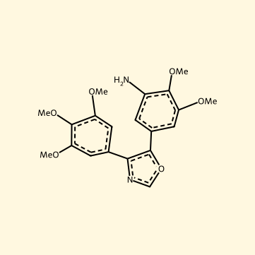 COc1cc(-c2ocnc2-c2cc(OC)c(OC)c(OC)c2)cc(N)c1OC